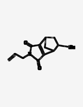 C=CCN1C(=O)C2=C(C1=O)C1CC2CC1C(C)(C)C